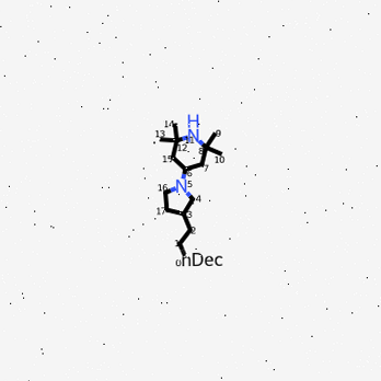 CCCCCCCCCCCCC1[CH]N(C2CC(C)(C)NC(C)(C)C2)CC1